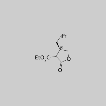 CCOC(=O)C1C(=O)OC[C@@H]1CC(C)C